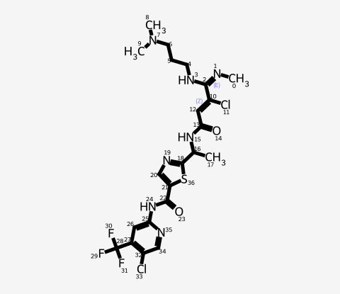 C/N=C(NCCCN(C)C)\C(Cl)=C\C(=O)NC(C)c1ncc(C(=O)Nc2cc(C(F)(F)F)c(Cl)cn2)s1